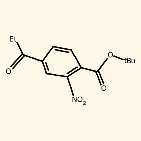 CCC(=O)c1ccc(C(=O)OC(C)(C)C)c([N+](=O)[O-])c1